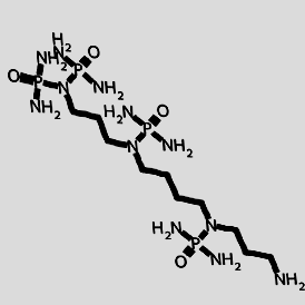 NCCCN(CCCCN(CCCN(P(N)(N)=O)P(N)(N)=O)P(N)(N)=O)P(N)(N)=O